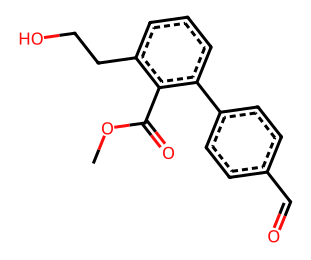 COC(=O)c1c(CCO)cccc1-c1ccc(C=O)cc1